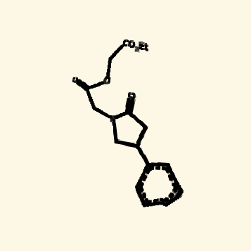 CCOC(=O)COC(=O)CN1CC(c2ccccc2)CC1=O